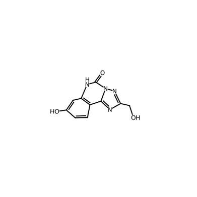 O=c1[nH]c2cc(O)ccc2c2nc(CO)nn12